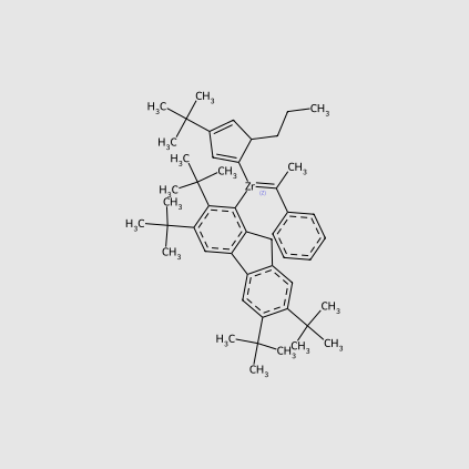 CCCC1C=C(C(C)(C)C)C=[C]1/[Zr](=[C](\C)c1ccccc1)[c]1c2c(cc(C(C)(C)C)c1C(C)(C)C)-c1cc(C(C)(C)C)c(C(C)(C)C)cc1C2